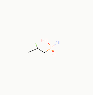 CC(F)CP(N)(=O)O